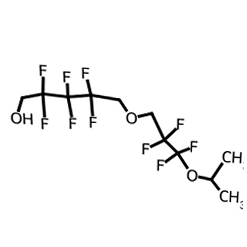 CC(C)OC(F)(F)C(F)(F)COCC(F)(F)C(F)(F)C(F)(F)CO